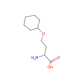 NC(CCOC1CCCCC1)C(=O)O